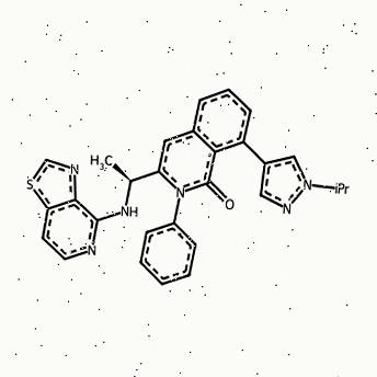 CC(C)n1cc(-c2cccc3cc([C@H](C)Nc4nccc5scnc45)n(-c4ccccc4)c(=O)c23)cn1